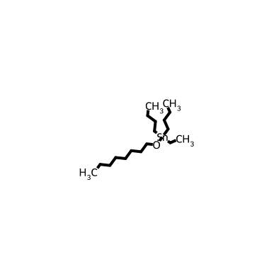 CCCCCCCC[O][Sn]([CH2]C)([CH2]CCC)[CH2]CCC